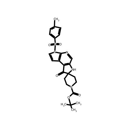 Cc1ccc(S(=O)(=O)n2ccc3c4c(cnc32)NC2(CCN(C(=O)OC(C)(C)C)CC2)C4=O)cc1